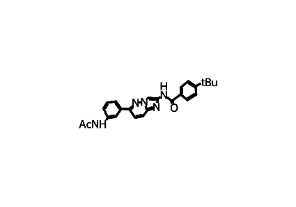 CC(=O)Nc1cccc(-c2ccc3nc(NC(=O)c4ccc(C(C)(C)C)cc4)cn3n2)c1